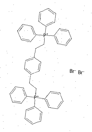 [Br-].[Br-].c1ccc([P+](CCc2ccc(CC[P+](c3ccccc3)(c3ccccc3)c3ccccc3)cc2)(c2ccccc2)c2ccccc2)cc1